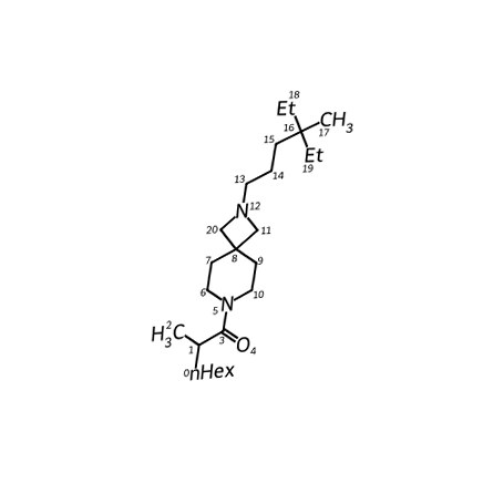 CCCCCCC(C)C(=O)N1CCC2(CC1)CN(CCCC(C)(CC)CC)C2